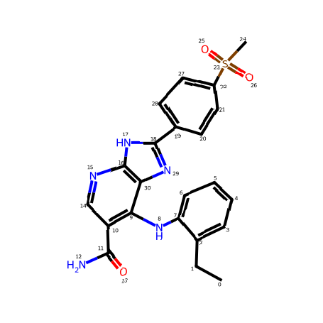 CCc1ccccc1Nc1c(C(N)=O)cnc2[nH]c(-c3ccc(S(C)(=O)=O)cc3)nc12